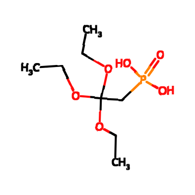 CCOC(CP(=O)(O)O)(OCC)OCC